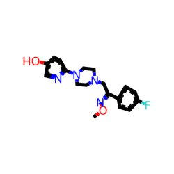 CON=C(CN1CCN(c2ccc(O)cn2)CC1)c1ccc(F)cc1